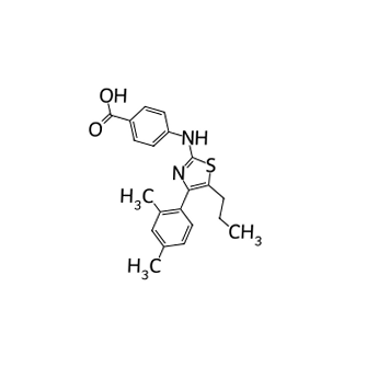 CCCc1sc(Nc2ccc(C(=O)O)cc2)nc1-c1ccc(C)cc1C